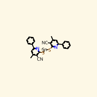 Cc1cc(-c2ccccc2)nc([S][Sn][S]c2nc(-c3ccccc3)cc(C)c2C#N)c1C#N